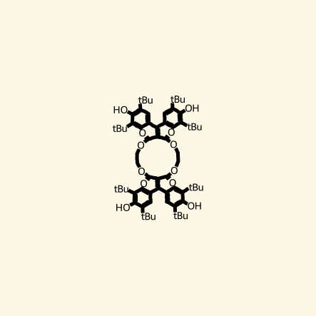 CC(C)(C)c1cc(C(=C2C(=O)OCCOC(=O)C(=C(c3cc(C(C)(C)C)c(O)c(C(C)(C)C)c3)c3cc(C(C)(C)C)c(O)c(C(C)(C)C)c3)C(=O)OCCOC2=O)c2cc(C(C)(C)C)c(O)c(C(C)(C)C)c2)cc(C(C)(C)C)c1O